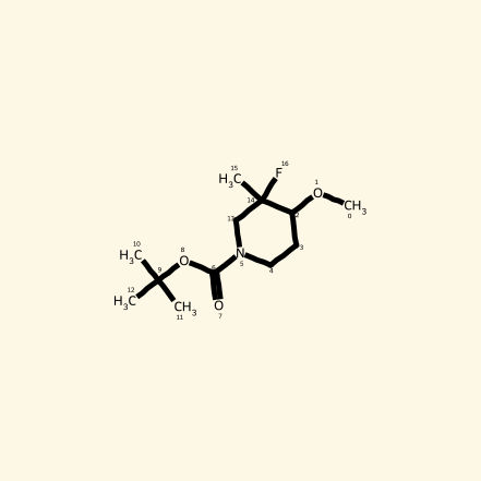 COC1CCN(C(=O)OC(C)(C)C)CC1(C)F